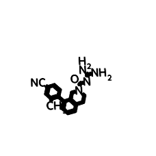 Cc1cc(C#N)ccc1-c1cccc2c1CN(C(=O)N=C(N)N)CC2